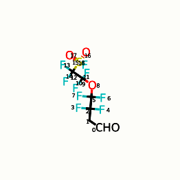 O=CCC(F)(F)C(F)(F)OC(F)(F)C(F)(F)S(=O)(=O)F